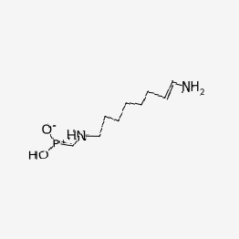 NC=CCCCCCCN/C=[P+](\[O-])O